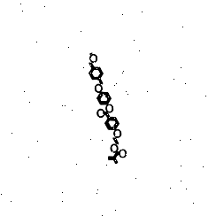 C=C(C)C(=O)OCCOc1ccc(C(=O)Oc2ccc(OCC3CCC(COC)CC3)cc2)cc1